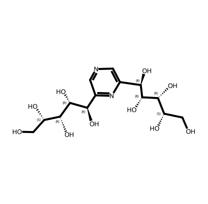 OC[C@H](O)[C@@H](O)[C@H](O)[C@H](O)c1cncc([C@@H](O)[C@@H](O)[C@H](O)[C@@H](O)CO)n1